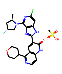 CS(=O)(=O)O.C[C@@H]1C[C@@H](F)CN1c1nc(Cl)cc2[nH]c(-c3cc4c(C5CCOCC5)nccc4[nH]c3=O)nc12